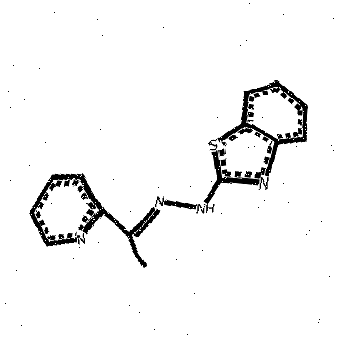 C/C(=N\Nc1nc2ccccc2s1)c1ccccn1